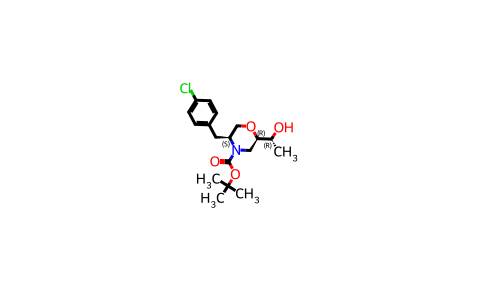 C[C@@H](O)[C@H]1CN(C(=O)OC(C)(C)C)[C@@H](Cc2ccc(Cl)cc2)CO1